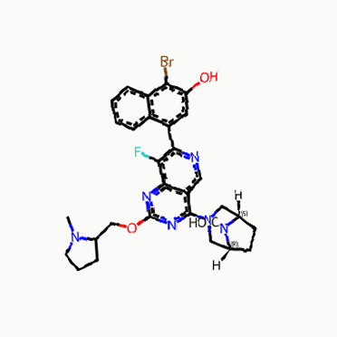 CN1CCCC1COc1nc(N2C[C@H]3CC[C@@H](C2)N3C(=O)O)c2cnc(-c3cc(O)c(Br)c4ccccc34)c(F)c2n1